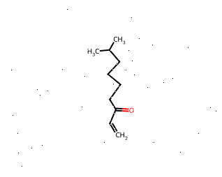 C=CC(=O)CCCCC(C)C